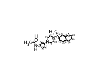 CC(O)Nc1nnc(N2CCN(C(C)c3ccc4cccnc4c3)CC2)s1